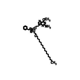 CCCCCCCCCCCCCCCCCCOCCOP(=O)(COCCn1cnc2c(OC)nc(N)nc21)OCc1ccccc1